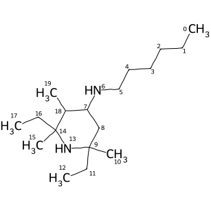 CCCCCCNC1CC(C)(CC)NC(C)(CC)C1C